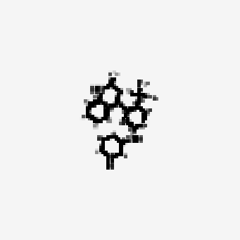 O=c1cc(-c2nc(NC3CCCNC3)ncc2C(F)(F)F)c2ccccc2[nH]1